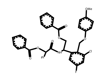 COc1ccc(OCc2c(Cl)cc(F)cc2C(COC(=O)c2ccccc2)NC(=O)C(OC(=O)c2ccccc2)C(C)C)cc1